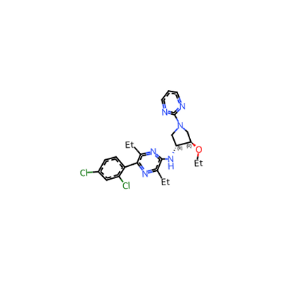 CCO[C@@H]1CN(c2ncccn2)C[C@H]1Nc1nc(CC)c(-c2ccc(Cl)cc2Cl)nc1CC